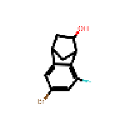 OC1CC2CC1c1c(F)cc(Br)cc12